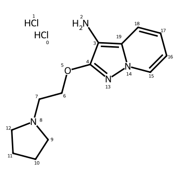 Cl.Cl.Nc1c(OCCN2CCCC2)nn2ccccc12